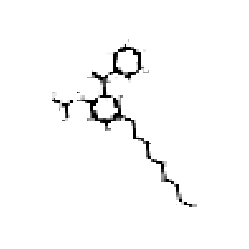 CCCCCCCCCc1ccc(OC(C)C)c(C(=O)c2ccccc2)c1